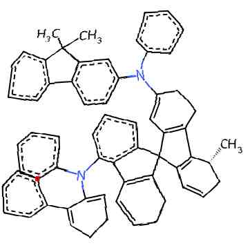 C[C@@H]1CC=CC2=C1C1=C(C=C(N(c3ccccc3)c3ccc4c(c3)C(C)(C)c3ccccc3-4)CC1)C21C2=C(C=CCC2)c2c(N(C3=CCCC=C3c3ccccc3)c3ccccc3)cccc21